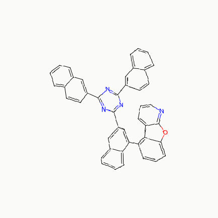 c1ccc2cc(-c3nc(-c4ccc5ccccc5c4)nc(-c4cc(-c5cccc6oc7ncccc7c56)c5ccccc5c4)n3)ccc2c1